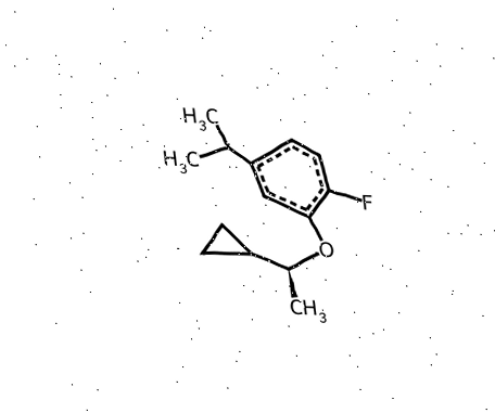 CC(C)c1ccc(F)c(O[C@@H](C)C2CC2)c1